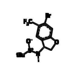 CN(C1COc2cc(Br)c(C(F)(F)F)cc21)[S+]([O-])C(C)(C)C